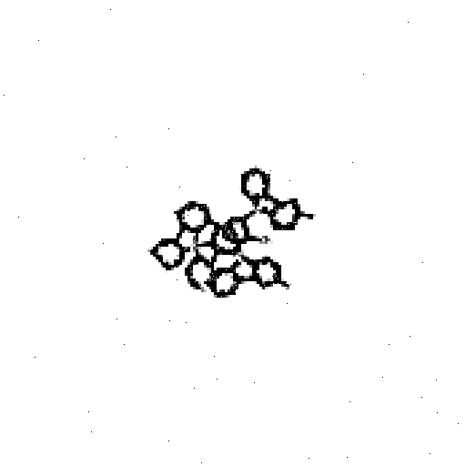 Cc1ccc2c(c1)c1ccccc1n2-c1cc(-c2cccc3c2[Si]2(c4ccncc4-c4cnccc42)c2ccccc2-3)cc(-n2c3ccccc3c3cc(C)ccc32)c1C#N